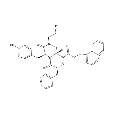 CC(C)CCN1C[C@@H]2N(C(=O)OCc3cccc4ccccc34)O[C@@H](Cc3ccccc3)C(=O)N2[C@@H](Cc2ccc(O)cc2)C1=O